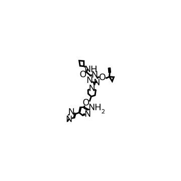 C#CC1(COc2nc(C(=O)NC3CCC3)nc(N3CCC(COc4cc(-c5cn(C)cn5)cnc4N)CC3)n2)CC1